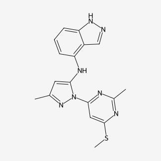 CSc1cc(-n2nc(C)cc2Nc2cccc3[nH]ncc23)nc(C)n1